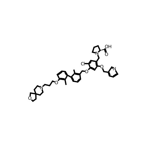 Cc1c(COc2cc(OCc3cccnc3)c(CN3CCC[C@H]3C(=O)O)cc2Cl)cccc1-c1cccc(OCCCN2CCC3(CCOC3)CC2)c1C